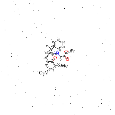 CSc1cc([N+](=O)[O-])cc2c1OC1(C=C2)N(CC(=O)OC(C)C)c2ccccc2C1(C)C